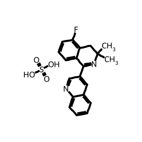 CC1(C)Cc2c(F)cccc2C(c2cnc3ccccc3c2)=N1.O=S(=O)(O)O